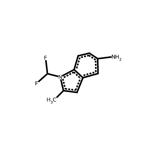 Cc1cc2cc(N)ccc2n1C(F)F